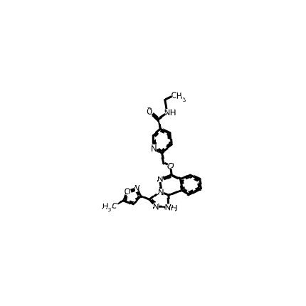 CCNC(=O)c1ccc(COC2=NN3C(c4cc(C)on4)=NNC3c3ccccc32)nc1